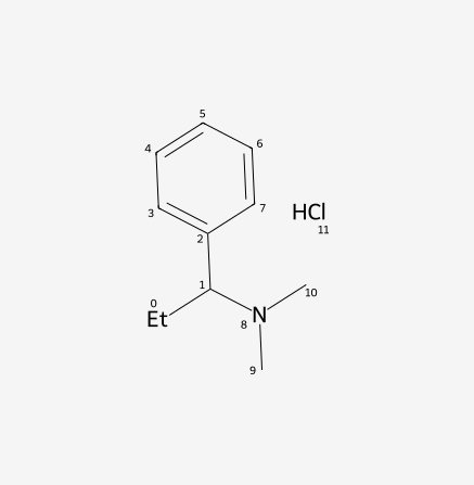 CCC(c1ccccc1)N(C)C.Cl